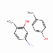 CC(=O)Nc1ccc(O)cc1.Nc1ccc(C(=O)O)c(O)c1